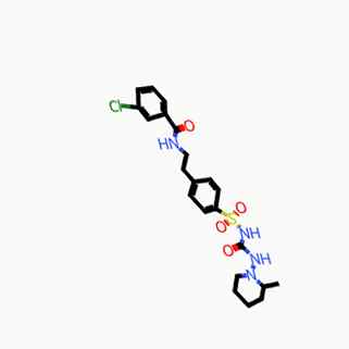 CC1CCCCN1NC(=O)NS(=O)(=O)c1ccc(CCNC(=O)c2cccc(Cl)c2)cc1